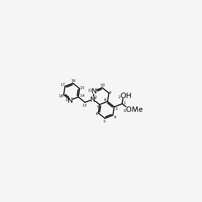 COC(O)c1cccc2c1CC=NN2Cc1ccccn1